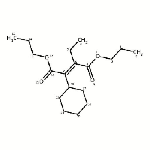 CCCOC(=O)C(CC)=C(C(=O)OCCC)C1CCCCC1